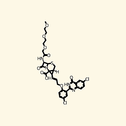 COCCOCCOCC(=O)N[C@@H]1C(=O)N2C1SC[C@@H]1C(/C=C/COc3ccc(Cl)cc3-c3nc4ccc(Cl)cc4c(=O)[nH]3)C12C(=O)O